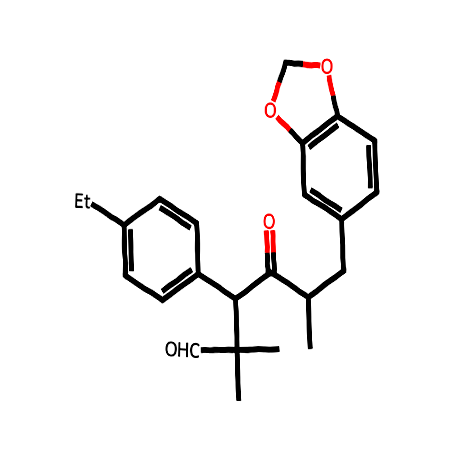 CCc1ccc(C(C(=O)C(C)Cc2ccc3c(c2)OCO3)C(C)(C)C=O)cc1